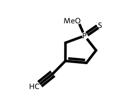 C#CC1=CCP(=S)(OC)C1